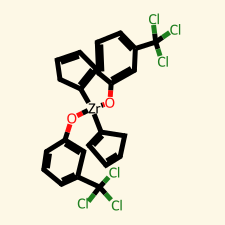 ClC(Cl)(Cl)c1cccc([O][Zr]([O]c2cccc(C(Cl)(Cl)Cl)c2)([C]2=CC=CC2)[C]2=CC=CC2)c1